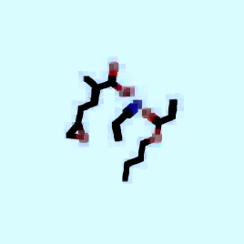 C/C(=C\CC1CO1)C(=O)O.C=CC#N.C=CC(=O)OCCCC